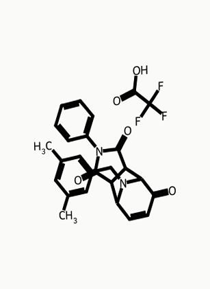 Cc1cc(C)cc(CN2C3C=CC(=O)C2C2C(=O)N(c4ccccc4)C(=O)C23)c1.O=C(O)C(F)(F)F